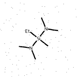 CC[Si](C)(N(C)C)N(C)C